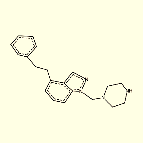 c1ccc(CCc2cccc3c2cnn3CN2CCNCC2)cc1